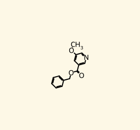 COc1cncc(C(=O)OCc2ccccc2)c1